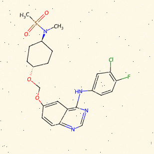 CN([C@H]1CC[C@H](OCOc2ccc3ncnc(Nc4ccc(F)c(Cl)c4)c3c2)CC1)S(C)(=O)=O